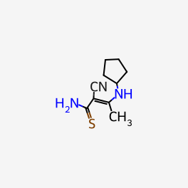 CC(NC1CCCC1)=C(C#N)C(N)=S